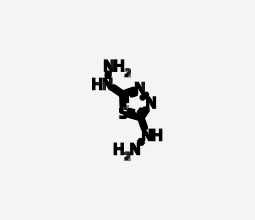 NNc1nnc(NN)s1